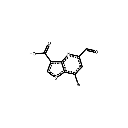 O=Cc1cc(Br)c2scc(C(=O)O)c2n1